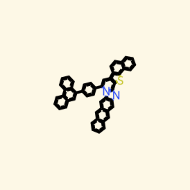 c1ccc2cc3cc4c(cc3cc2c1)nc1c2sc3c5ccccc5ccc3c2cc(-c2ccc(-c3cc5ccccc5c5ccccc35)cc2)n41